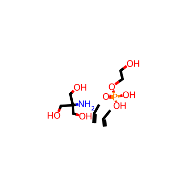 C=CC.C=CC.NC(CO)(CO)CO.O=P(O)(O)OCCO